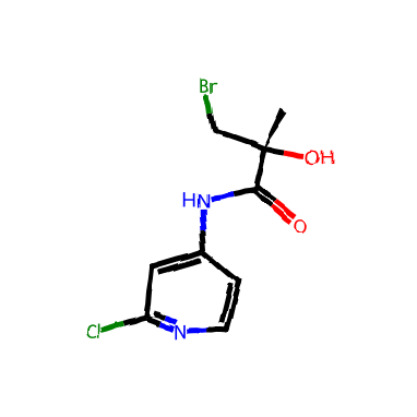 C[C@](O)(CBr)C(=O)Nc1ccnc(Cl)c1